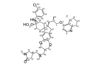 C[C@@H](COc1ccnc2c1[C@H](C)CCC2)C[C@H]1Cc2cc3c(cc2C12CCC(Nc1cccc(Cl)c1)(C(=O)O)CC2)OCC(CN(C)CC1CC(=O)N(C)C1)CO3